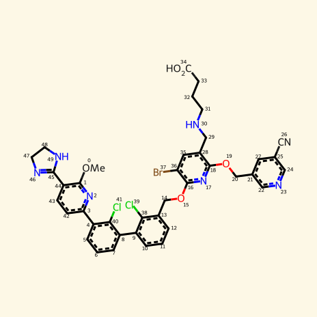 COc1nc(-c2cccc(-c3cccc(COc4nc(OCc5cncc(C#N)c5)c(CNCCCC(=O)O)cc4Br)c3Cl)c2Cl)ccc1C1=NCCN1